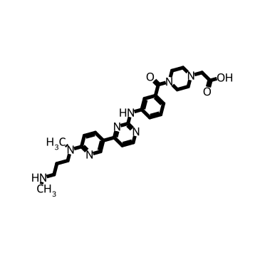 CNCCCN(C)c1ccc(-c2ccnc(Nc3cccc(C(=O)N4CCN(CC(=O)O)CC4)c3)n2)cn1